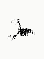 CCCCCCCCCc1cccc(OP(=O)(O)O)c1CCCCCCCCC.CN(C)C.CN(C)C